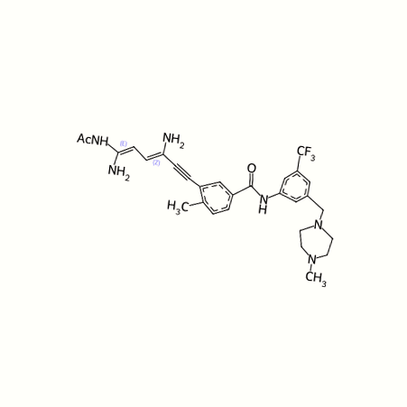 CC(=O)N/C(N)=C/C=C(\N)C#Cc1cc(C(=O)Nc2cc(CN3CCN(C)CC3)cc(C(F)(F)F)c2)ccc1C